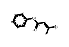 CC/C(C)=C/C(=O)Oc1ccccc1